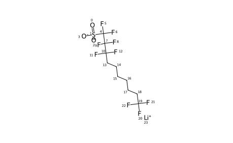 O=S(=O)([O-])C(F)(F)C(F)(F)C(F)(F)CCCCCCC(F)(F)F.[Li+]